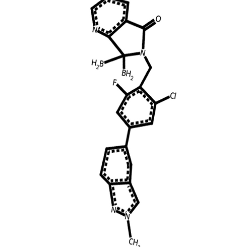 BC1(B)c2ncccc2C(=O)N1Cc1c(F)cc(-c2ccc3nn(C)cc3c2)cc1Cl